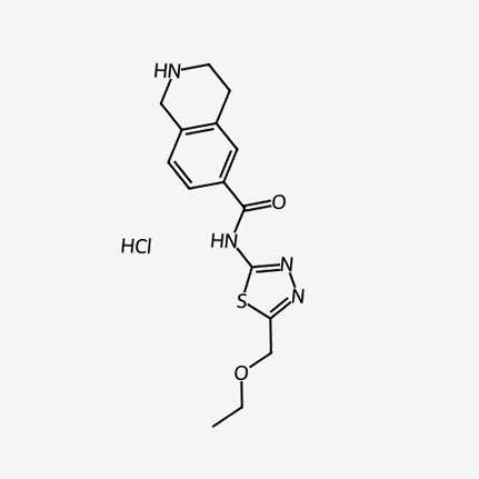 CCOCc1nnc(NC(=O)c2ccc3c(c2)CCNC3)s1.Cl